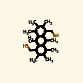 Cc1c(C)c(CS)c2c(C)c3c(C)c(C)c(C)c(CS)c3c(C)c2c1C